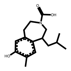 Cc1cc2c(cc1O)CCN(C(=O)O)CC2CC(C)C